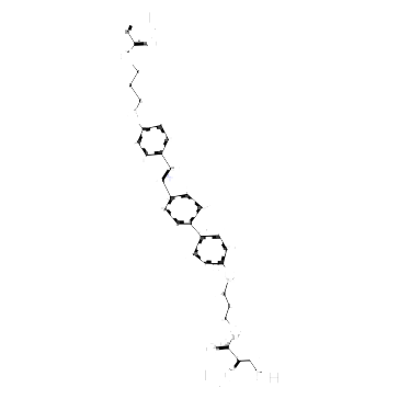 C=CC(=O)OCCCOc1ccc(/C=C/c2ccc(-c3ccc(OCCCOC(=O)C(=C)CO)cc3)cc2)cc1